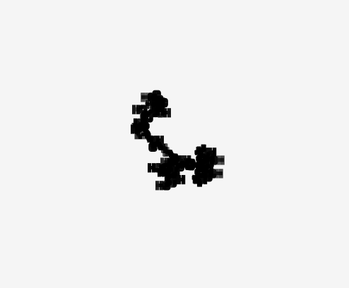 CC1N=c2c(cc3c(c2S(=O)(=O)O)Oc2c(cc4c(c2S(=O)(=O)O)NC(C)C4(C)C)C=3c2ccc(C(=O)NC(CCCSSCCC(=O)NCC#Cc3cn([C@H]4CC(O)[C@@H](COP(=O)(O)OP(=O)(O)OP(=O)(O)O)O4)c4ncnc(N)c34)C(=O)NC(CC(=O)O)C(=O)NC(CC(=O)O)C(=O)O)cc2)C1(C)C